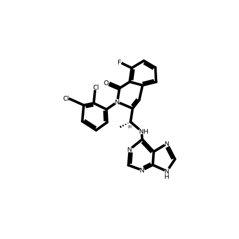 C[C@@H](Nc1ncnc2[nH]cnc12)c1cc2cccc(F)c2c(=O)n1-c1cccc(Cl)c1Cl